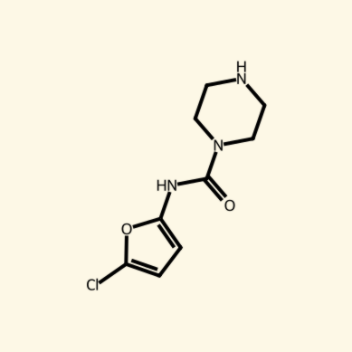 O=C(Nc1ccc(Cl)o1)N1CCNCC1